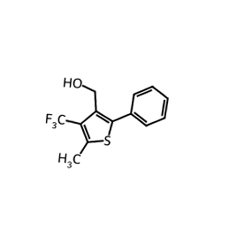 Cc1sc(-c2ccccc2)c(CO)c1C(F)(F)F